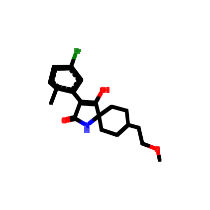 COCCC1CCC2(CC1)NC(=O)C(c1cc(Br)ccc1C)=C2O